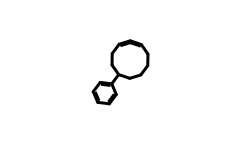 C1=CCCCCC(c2ccccc2)CCC=1